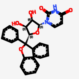 O=c1ccn([C@@H]2O[C@H](C(Oc3ccccc3)(c3ccccc3)c3ccccc3)[C@@H](O)[C@H]2O)c(=O)[nH]1